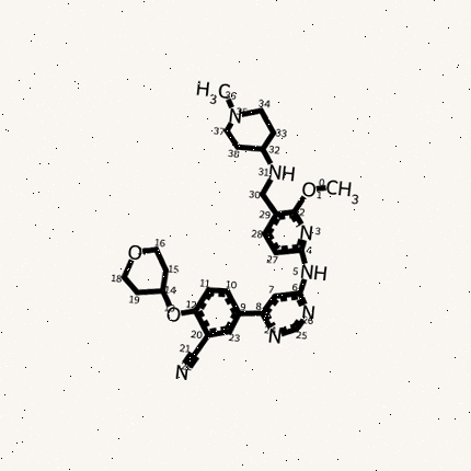 COc1nc(Nc2cc(-c3ccc(OC4CCOCC4)c(C#N)c3)ncn2)ccc1CNC1CCN(C)CC1